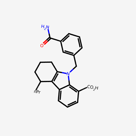 CCCC1CCCc2c1c1cccc(C(=O)O)c1n2Cc1cccc(C(N)=O)c1